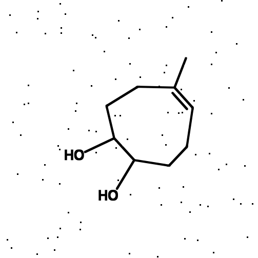 CC1=CCCC(O)C(O)CC1